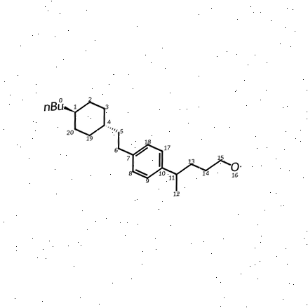 CCCC[C@H]1CC[C@H](CCc2ccc(C(C)CCC[O])cc2)CC1